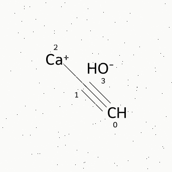 C#[C][Ca+].[OH-]